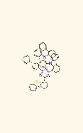 c1ccc(-c2ccc(-c3nc(-c4cccc5c4sc4ccccc45)nc(-c4cccc5c6ccccc6n(-c6cccc7c8ccccc8n(-c8ccccc8-c8ccccc8)c67)c45)n3)cc2)cc1